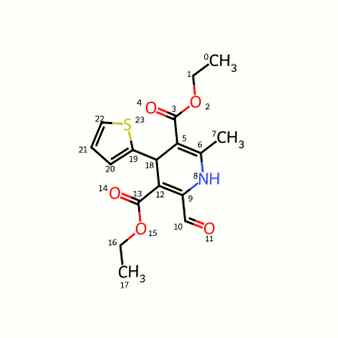 CCOC(=O)C1=C(C)NC(C=O)=C(C(=O)OCC)C1c1cccs1